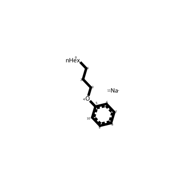 CCCCCCCCCOc1ccccc1.[Na]